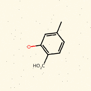 Cc1ccc(C(=O)O)c([O])c1